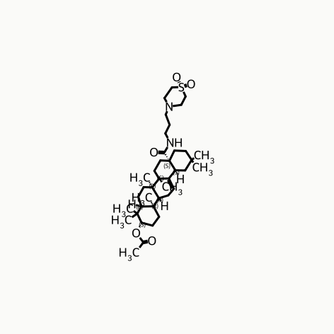 CC(=O)O[C@H]1CC[C@]2(C)[C@H]3CC=C4[C@@H]5CC(C)(C)CC[C@]5(C(=O)NCCCN5CCS(=O)(=O)CC5)CC[C@@]4(C)[C@]3(C)CC[C@H]2C1(C)C